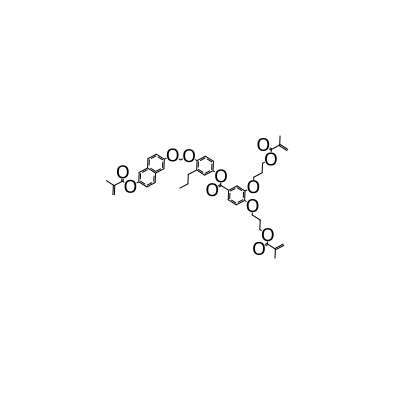 C=C(C)C(=O)OCCCOc1ccc(C(=O)Oc2ccc(OCOc3ccc4cc(OC(=O)C(=C)C)ccc4c3)c(CCC)c2)cc1OCCCOC(=O)C(=C)C